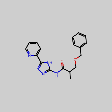 CC(COCc1ccccc1)C(=O)Nc1nnc(-c2ccccn2)[nH]1